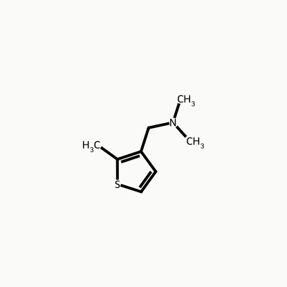 Cc1sccc1CN(C)C